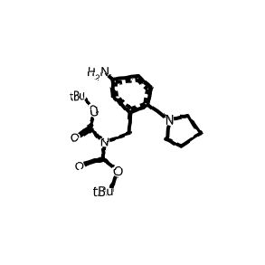 CC(C)(C)OC(=O)N(Cc1cc(N)ccc1N1CCCC1)C(=O)OC(C)(C)C